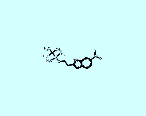 CC(C)(C)[Si](C)(C)OCCc1cc2ccc([N+](=O)[O-])cc2[nH]1